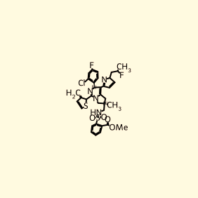 C=C1C=CSC1C1=N[C@@H](c2ccc(F)cc2Cl)C(C2=NC(CC(C)F)C=C2)=C2C[C@@](C)(CNS(=O)(=O)c3ccccc3C(=O)OC)CN12